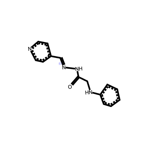 O=C(CNc1ccccc1)N/N=C/c1ccncc1